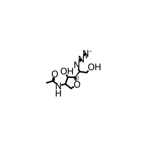 CC(=O)NC1CO[C@H](C(CO)N=[N+]=[N-])C1O